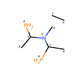 CC.CC(P)N(C)C(C)P